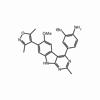 COc1cc2c(cc1-c1c(C)noc1C)[nH]c1nc(C)nc(-c3ccc(N)c(C(C)(C)C)c3)c12